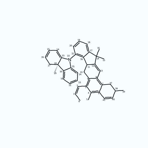 C/C=C\c1c(C)c2c(c3c1CC1C(=C3)C(C)(C)c3cccc(N4C5=CC=CC[C@]5(C)c5ccccc54)c31)CC(C)C=C2